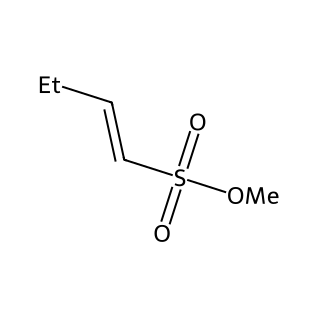 CCC=CS(=O)(=O)OC